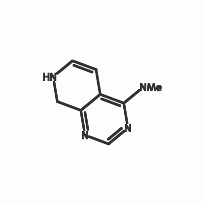 CNc1ncnc2c1C=CNC2